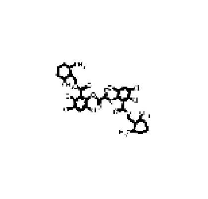 CC1CCCC(C)C1COC(=O)c1c(Cl)c(Cl)cc(Cl)c1OC(=O)C(=O)Oc1c(Cl)cc(Cl)c(Cl)c1C(=O)OCC1C(C)CCCC1C